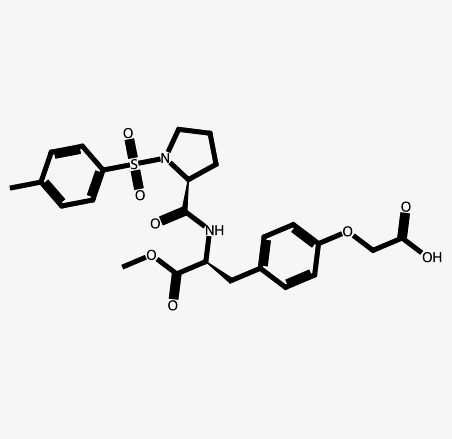 COC(=O)[C@H](Cc1ccc(OCC(=O)O)cc1)NC(=O)[C@@H]1CCCN1S(=O)(=O)c1ccc(C)cc1